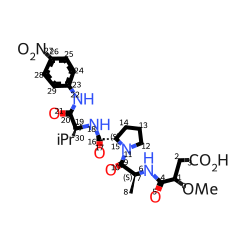 COC(CC(=O)O)C(=O)N[C@@H](C)C(=O)N1CCC[C@H]1C(=O)N[C@H](C(=O)Nc1ccc([N+](=O)[O-])cc1)C(C)C